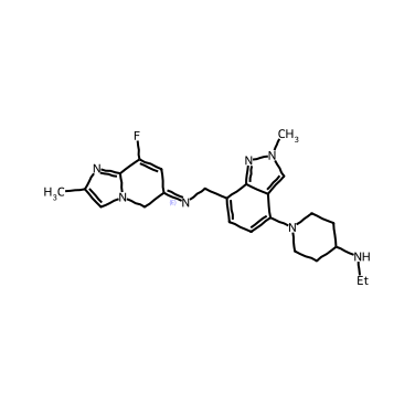 CCNC1CCN(c2ccc(C/N=C3\C=C(F)c4nc(C)cn4C3)c3nn(C)cc23)CC1